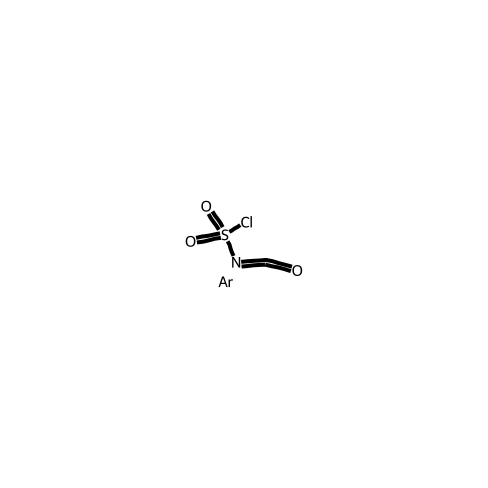 O=C=NS(=O)(=O)Cl.[Ar]